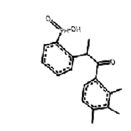 Cc1ccc(C(=O)C(C)c2ccccc2[PH](=O)O)c(C)c1C